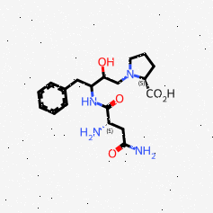 NC(=O)C[C@H](N)C(=O)NC(Cc1ccccc1)C(O)CN1CCC[C@H]1C(=O)O